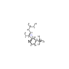 CC/C(=C\CC(C)CC)c1cc([Si](C)(C)C)ccn1